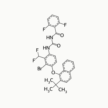 CC(C)(C)c1ccc2ccccc2c1Oc1ccc(NC(=O)NC(=O)c2c(F)cccc2F)c(C(F)F)c1Br